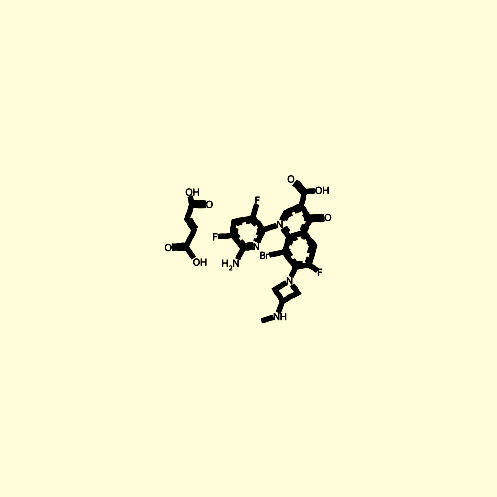 CNC1CN(c2c(F)cc3c(=O)c(C(=O)O)cn(-c4nc(N)c(F)cc4F)c3c2Br)C1.O=C(O)C=CC(=O)O